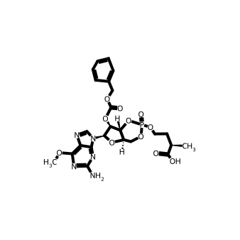 COc1nc(N)nc2c1ncn2[C@@H]1O[C@@H]2COP(=O)(OCC[C@@H](C)C(=O)O)O[C@H]2[C@@H]1OC(=O)OCc1ccccc1